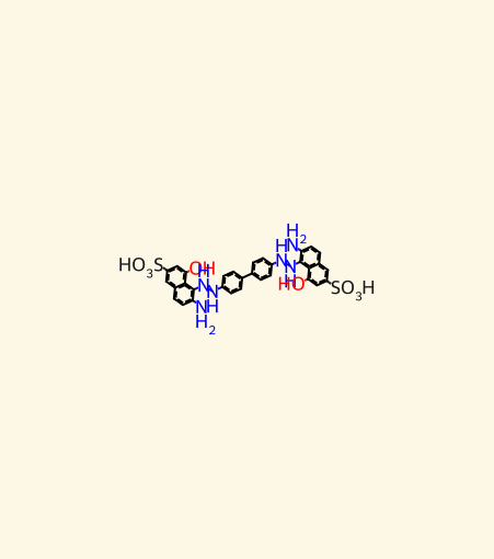 Nc1ccc2cc(S(=O)(=O)O)cc(O)c2c1NNc1ccc(-c2ccc(NNc3c(N)ccc4cc(S(=O)(=O)O)cc(O)c34)cc2)cc1